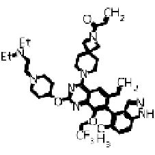 C=CC(=O)N1CC2(CCN(c3nc(OC4CCN(CCN(CC)CC)CC4)nc4c(OCC(F)(F)F)c(-c5c(C)ccc6[nH]ncc56)c(C=C)cc34)CC2)C1